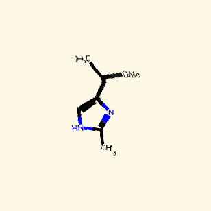 COC(C)c1c[nH]c(C)n1